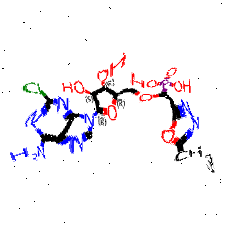 Cc1nnc(C(OC[C@H]2O[C@@H](n3cnc4c(N)nc(Cl)nc43)[C@@H](O)[C@H]2O)P(=O)(O)O)o1